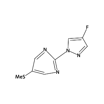 CSc1cnc(-n2cc(F)cn2)nc1